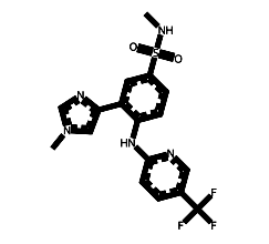 CNS(=O)(=O)c1ccc(Nc2ccc(C(F)(F)F)cn2)c(-c2cn(C)cn2)c1